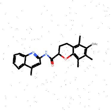 CC(=O)Oc1c(C)c(C)c2c(c1C)CCC(C(=O)Nc1cc(C)c3ccccc3n1)O2